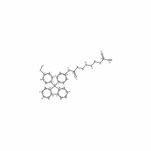 CCc1ccc(C2(c3ccc(OC(=O)CCSSCCC(=O)O)cc3)c3ccccc3-c3ccccc32)cc1